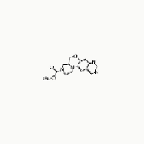 CC(C)(C)OC(=O)N1CCN2c3cc4cncnc4cc3OCC2C1